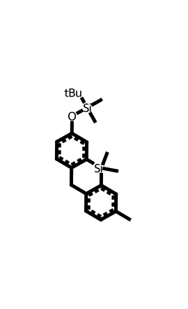 Cc1ccc2c(c1)[Si](C)(C)c1cc(O[Si](C)(C)C(C)(C)C)ccc1C2